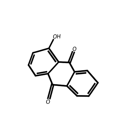 O=C1c2ccccc2C(=O)c2c(O)cccc21